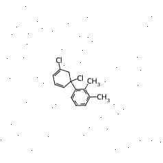 Cc1cccc(C2(Cl)C=CC=C(Cl)C2)c1C